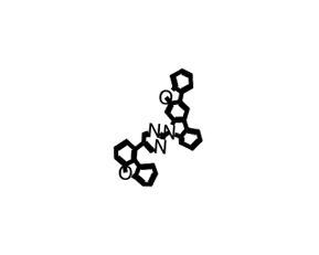 c1ccc2c(c1)oc1cc3c(cc12)c1ccccc1n3-c1ncc(-c2cccc3oc4ccccc4c23)cn1